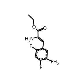 CCOC(=O)/C(N)=C/c1cc(P)c(F)cc1F